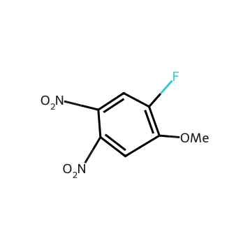 COc1cc([N+](=O)[O-])c([N+](=O)[O-])cc1F